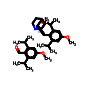 COc1cc(C(C)C)c(/C=C2\C(=O)C3CCN2CC3)c(C(C)C)c1.COc1cc(C(C)C)c(C=O)c(C(C)C)c1